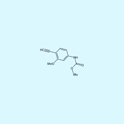 C#Cc1ccc(NC(=O)OC(C)(C)C)cc1OC